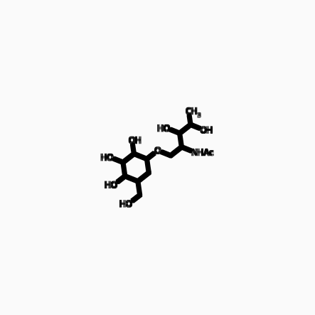 CC(=O)NC(COC1CC(CO)C(O)C(O)C1O)C(O)C(C)O